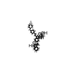 CN1CCC(Cc2ccc(C=Cc3n[nH]c4cc([C@@H]5C[C@@]56C(=O)Nc5ccccc56)ccc34)cc2)CC1.O=C(O)C(F)(F)F